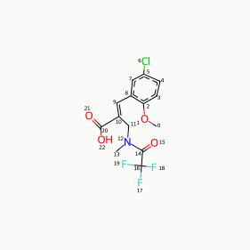 COc1ccc(Cl)cc1C=C(CN(C)C(=O)C(F)(F)F)C(=O)O